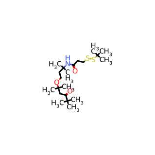 CC(C)(CCOC(C)(C)CC(=O)C(C)(C)C)NC(=O)CCSSC(C)(C)C